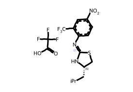 CC(C)C[C@H]1CS/C(=N\c2ccc([N+](=O)[O-])cc2C(F)(F)F)N1.O=C(O)C(F)(F)F